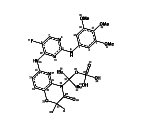 COc1cc(Nc2ncc(F)c(Nc3ccc4c(n3)N(C(OP(=O)(O)O)(C(C)(C)C)C(C)(C)C)C(=O)C(C)(C)O4)n2)cc(OC)c1OC